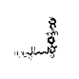 CC1CC(=O)N(CCCCCNC(=O)CON)N=C1c1ccc(NC(=O)N2Cc3ccncc3C2)cc1